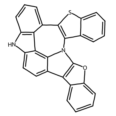 c1ccc2c(c1)oc1c2c2ccc3[nH]c4cccc5c6sc7ccccc7c6n1c2c3c45